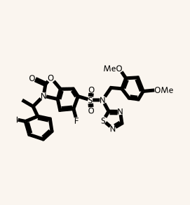 COc1ccc(CN(c2ncns2)S(=O)(=O)c2cc3oc(=O)n(C(C)c4ccccc4I)c3cc2F)c(OC)c1